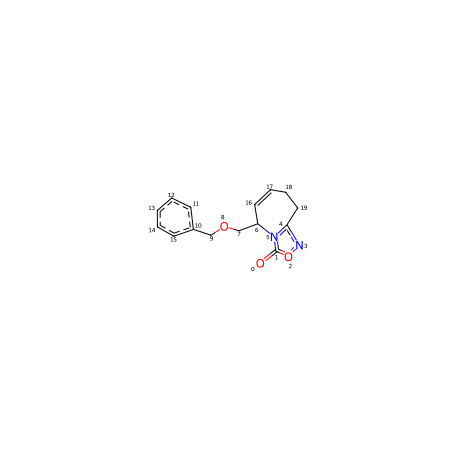 O=c1onc2n1C(COCc1ccccc1)C=CCC2